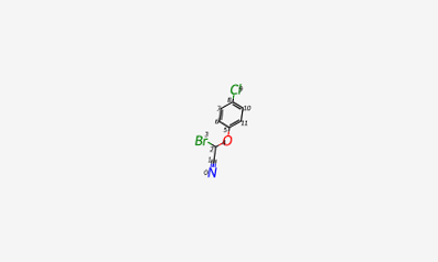 N#CC(Br)Oc1ccc(Cl)cc1